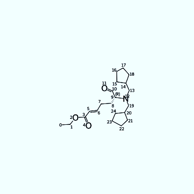 CCOC(=O)C=CCC[C@H](C=O)N(CC1CCCC1)CC1CCCC1